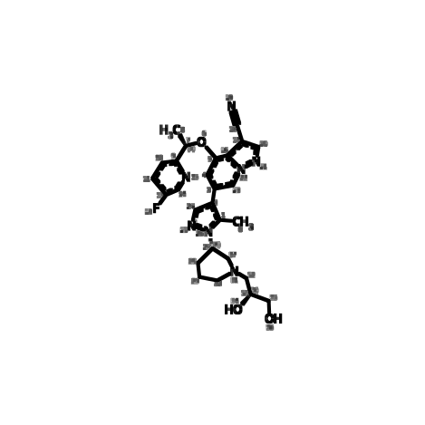 Cc1c(-c2cc(O[C@H](C)c3ccc(F)cn3)c3c(C#N)cnn3c2)cnn1[C@H]1CCCN(C[C@H](O)CO)C1